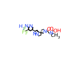 CN(CC(=O)N1CC[C@@]2(CCn3nc(-c4cnc(N)c(C(F)(F)F)c4)cc32)C1)C(=O)O